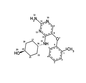 Cc1ccccc1Oc1cnc(N)nc1N[C@H]1CC[C@H](O)CC1